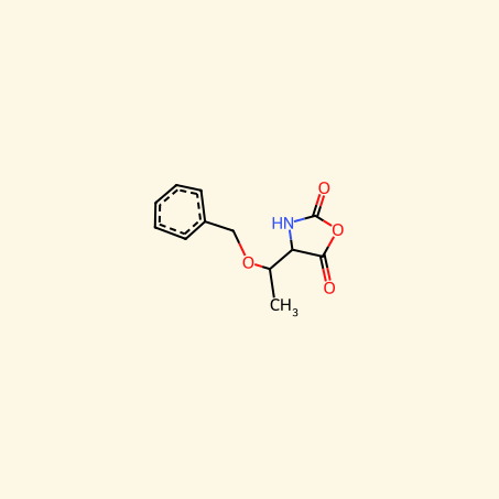 CC(OCc1ccccc1)C1NC(=O)OC1=O